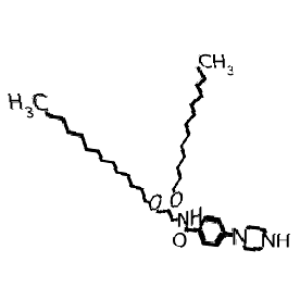 CCCCCCCCCCCCCCOCC(CNC(=O)c1ccc(N2CCNCC2)cc1)OCCCCCCCCCCCCCC